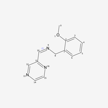 COc1ccccc1C/N=C\c1cnccn1